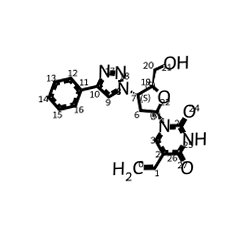 C=Cc1cn([C@H]2C[C@H](n3cc(-c4ccccc4)nn3)[C@@H](CO)O2)c(=O)[nH]c1=O